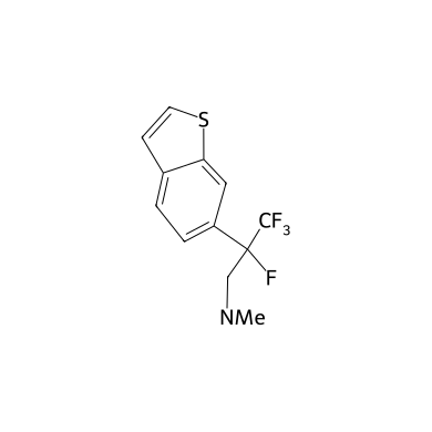 CNCC(F)(c1ccc2ccsc2c1)C(F)(F)F